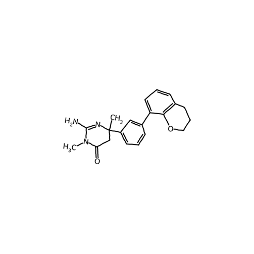 CN1C(=O)CC(C)(c2cccc(-c3cccc4c3OCCC4)c2)N=C1N